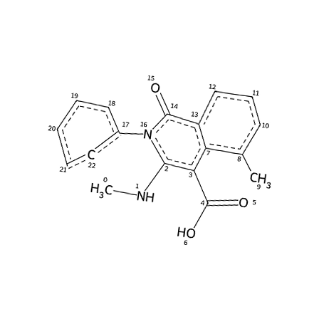 CNc1c(C(=O)O)c2c(C)cccc2c(=O)n1-c1ccccc1